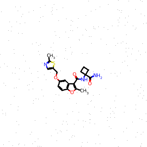 Cc1ncc(COc2ccc3oc(C)c(C(=O)NC4(C(N)=O)CCC4)c3c2)s1